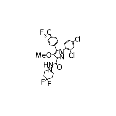 COc1c(C(=O)NN2CCC(F)(F)CC2)nn(-c2ccc(Cl)cc2Cl)c1-c1ccc(C(F)(F)F)cc1